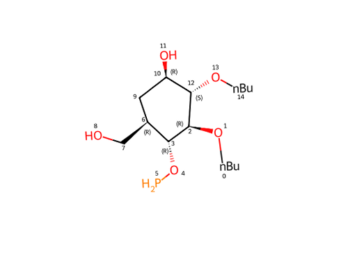 CCCCO[C@H]1[C@H](OP)[C@@H](CO)C[C@@H](O)[C@@H]1OCCCC